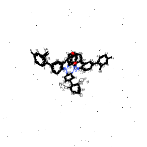 Cc1ccc(-c2ccc3c(c2)c2ccccc2n3-c2cc(C#N)c(-c3c(C(F)(F)F)cccc3C(F)(F)F)cc2-n2c3ccccc3c3cc(-c4ccc(C)cc4C)ccc32)c(C)c1